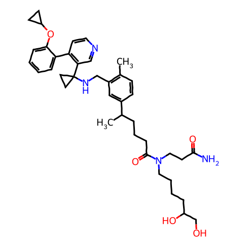 Cc1ccc(C(C)CCCC(=O)N(CCCCC(O)CO)CCC(N)=O)cc1CNC1(c2cnccc2-c2ccccc2OC2CC2)CC1